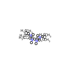 CCCCc1cc2c3c(c1)N(c1ccccc1)c1cc4c(cc1B3c1ccccc1N2c1ccc2c(c1)C(C)(C)CCC2(C)C)B1c2ccccc2N(c2ccc3c(c2)C(C)(C)CCC3(C)C)c2cccc(c21)N4c1ccccc1